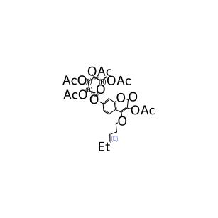 CC/C=C/CCOc1c(OC(C)=O)c(=O)oc2cc(O[C@@H]3O[C@H](COC(C)=O)[C@H](OC(C)=O)[C@H](OC(C)=O)[C@H]3OC(C)=O)ccc12